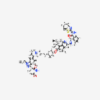 Cc1c(O[C@H]2CC[C@H](CCCCN3CCCC(c4ccc5c(C6CCC(=O)NC6=O)nn(C)c5c4)C3)CC2)cccc1-c1ccc(N2CCc3cccc(C(=O)Nc4nc5ccccc5s4)c3C2)nc1C(=O)O